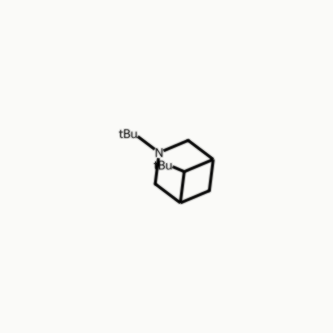 CC(C)(C)C1C2CC1CN(C(C)(C)C)C2